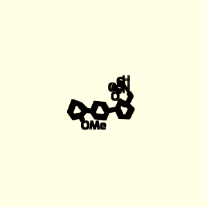 COc1ccccc1-c1ccc(-c2cccc3c2OS(=O)(=O)NC3)cc1